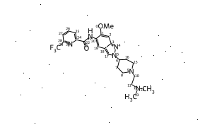 COc1cc2nn(C3CCN(CCN(C)C)CC3)cc2cc1NC(=O)c1cccc(C(F)(F)F)n1